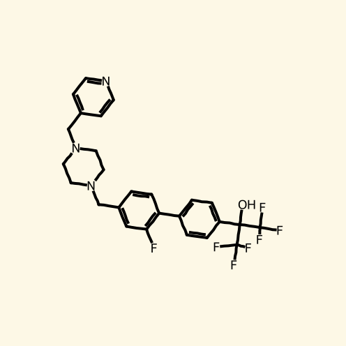 OC(c1ccc(-c2ccc(CN3CCN(Cc4ccncc4)CC3)cc2F)cc1)(C(F)(F)F)C(F)(F)F